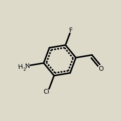 Nc1cc(F)c(C=O)cc1Cl